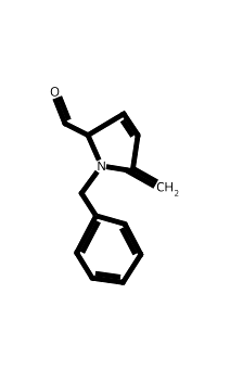 C=C1C=CC(C=O)N1Cc1ccccc1